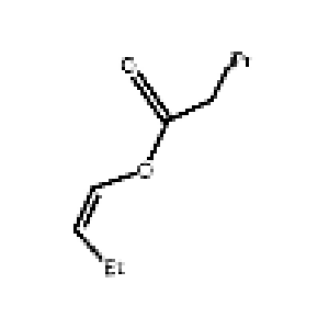 CC/C=[C]\OC(=O)CC(C)C